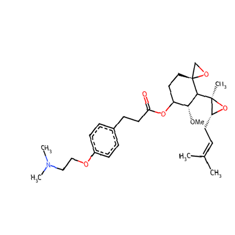 CO[C@@H]1C(OC(=O)CCc2ccc(OCCN(C)C)cc2)CC[C@]2(CO2)C1[C@@]1(C)O[C@@H]1CC=C(C)C